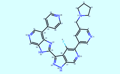 Fc1c(-c2cncc(CN3CCCC3)c2)ncc2[nH]nc(-c3nc4c(-c5ccncc5)cncc4[nH]3)c12